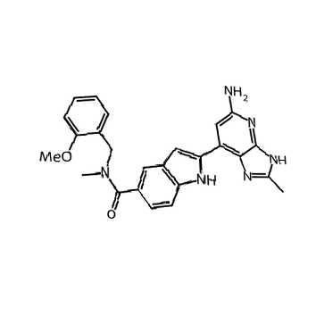 COc1ccccc1CN(C)C(=O)c1ccc2[nH]c(-c3cc(N)nc4[nH]c(C)nc34)cc2c1